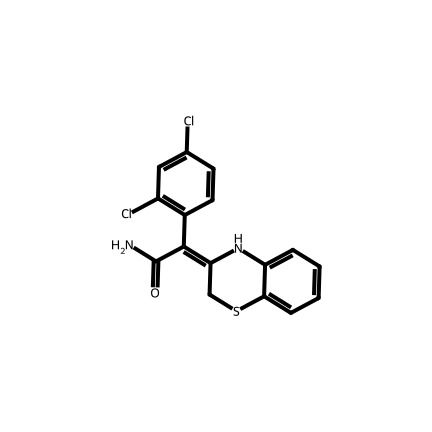 NC(=O)C(=C1CSc2ccccc2N1)c1ccc(Cl)cc1Cl